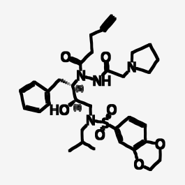 C#CCCC(=O)N(NC(=O)CN1CCCC1)[C@@H](Cc1ccccc1)[C@H](O)CN(CC(C)C)S(=O)(=O)c1ccc2c(c1)OCCO2